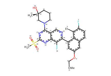 CCc1c(F)ccc2cc(OCOC)cc(-c3ncc4c(N5CCC[C@@](C)(O)C5)nc(S(C)(=O)=O)nc4c3F)c12